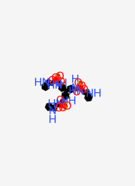 Cc1[nH]c2ccccc2c1CC(=O)N[C@](C)(CS(C)(=O)=O)C(=O)Nc1ccc(C(c2ccc(NC(=O)[C@@](C)(CS(C)(=O)=O)NC(=O)Cc3c(C)[nH]c4ccccc34)cc2)c2ccc(NC(=O)[C@@](C)(CS(C)(=O)=O)NC(=O)Cc3c(C)[nH]c4ccccc34)cc2)cc1